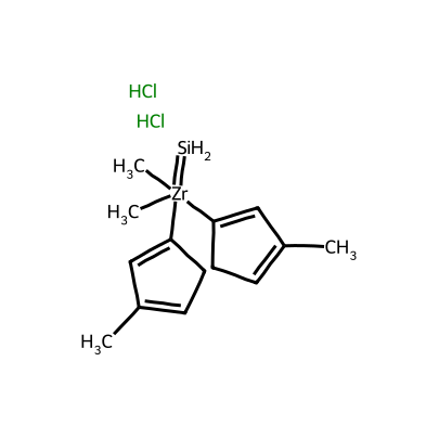 CC1=CC[C]([Zr]([CH3])([CH3])(=[SiH2])[C]2=CC(C)=CC2)=C1.Cl.Cl